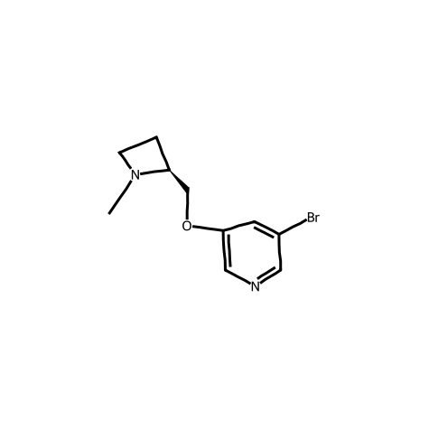 CN1CC[C@H]1COc1cncc(Br)c1